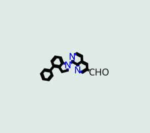 O=Cc1cnc2c(N3CCc4c(-c5ccccc5)cccc43)nccc2c1